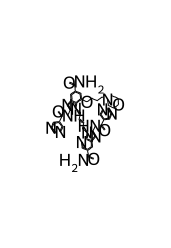 NC(=O)c1cnc2c(c1)nc(NC(=O)c1cncnc1)n2C/C=C/Cn1c(NC(=O)c2cncnc2)nc2cc(C(N)=O)cc(OCCCN3CCOCC3)c21